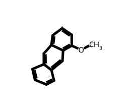 COc1c[c]cc2cc3ccccc3cc12